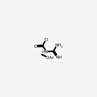 COC(C)=O.N=C(N)NC(=O)Cl